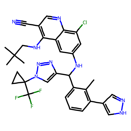 Cc1c(-c2cn[nH]c2)cccc1C(Nc1cc(Cl)c2ncc(C#N)c(NCC(C)(C)C)c2c1)c1cn(C2(C(F)(F)F)CC2)nn1